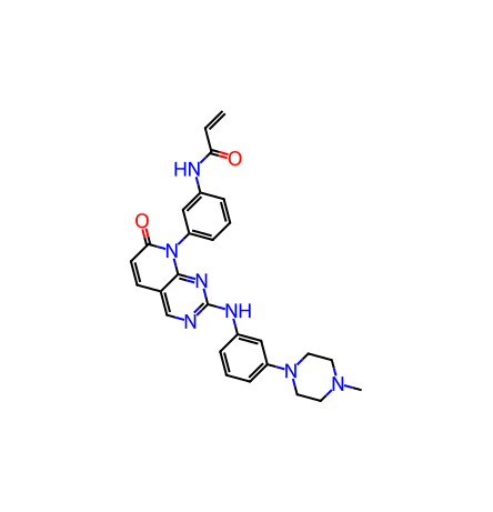 C=CC(=O)Nc1cccc(-n2c(=O)ccc3cnc(Nc4cccc(N5CCN(C)CC5)c4)nc32)c1